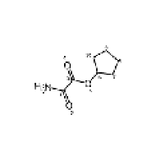 NC(=O)C(=O)OC1CCCC1